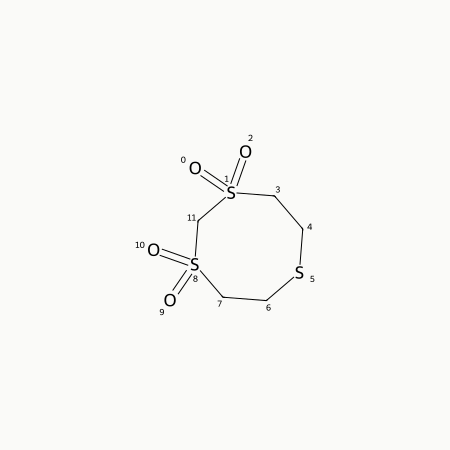 O=S1(=O)CCSCCS(=O)(=O)C1